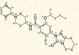 CCCC(C)Oc1cc(-n2nc3n(c2=O)CCCC3)c(F)cc1C(=O)NC1CCN(c2cnccn2)CC1